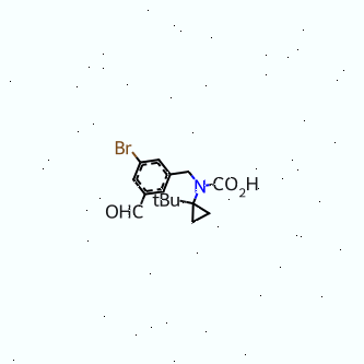 CC(C)(C)C1(N(Cc2cc(Br)cc(C=O)c2)C(=O)O)CC1